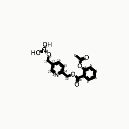 CC(=O)Oc1ccccc1C(=O)OCc1ccc(CON(O)O)cn1